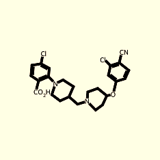 N#Cc1ccc(OC2CCN(CC3CCN(c4cc(Cl)ccc4C(=O)O)CC3)CC2)cc1Cl